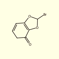 O=C1CC=CC2=C1OC(Br)O2